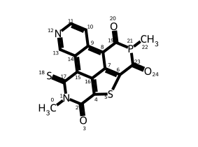 CN1C(=O)c2sc3c4c(c5ccncc5c(c24)C1=S)C(=O)P(C)C3=O